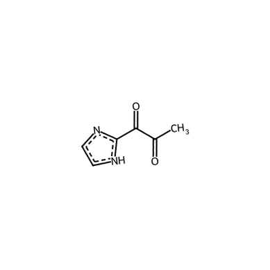 CC(=O)C(=O)c1ncc[nH]1